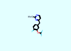 COc1nccc([CH]c2ccc(F)c(OC(F)F)c2)n1